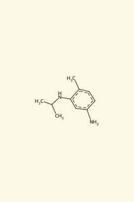 Cc1ccc(N)cc1NC(C)C